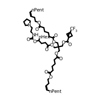 CCCCC/C=C\CCOC(=O)CCCCC(=O)OCC(COC(=O)CCCCC(=O)OCC/C=C\CCCCC)(COC(=O)CCC(CCCCCC)OC(=O)NCCN1CCCC1)COC(=O)C12CC(C(F)(F)F)(C1)C2